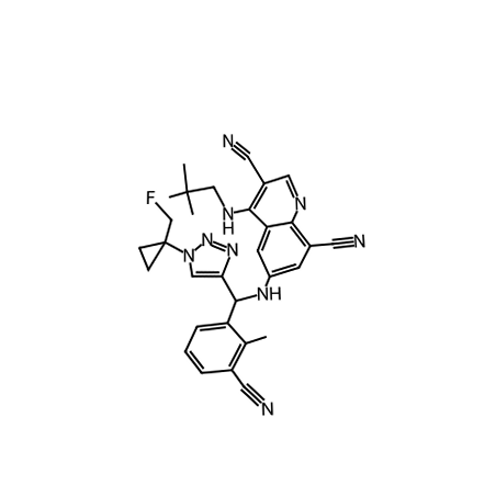 Cc1c(C#N)cccc1C(Nc1cc(C#N)c2ncc(C#N)c(NCC(C)(C)C)c2c1)c1cn(C2(CF)CC2)nn1